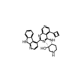 C[C@@]1(O)CNCC[C@H]1Nc1nc(-c2ccnc3[nH]c4ccccc4c23)nc2cncc(C3=CC=C3)c12